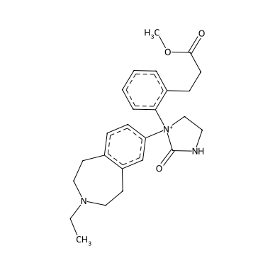 CCN1CCc2ccc([N+]3(c4ccccc4CCC(=O)OC)CCNC3=O)cc2CC1